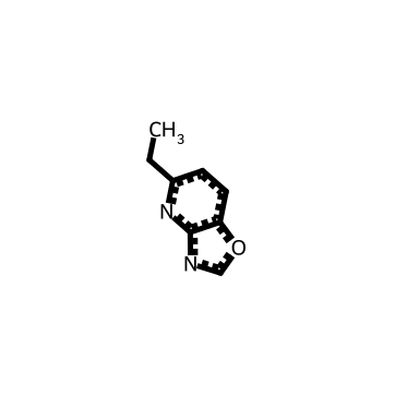 CCc1ccc2ocnc2n1